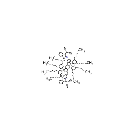 CCCCCCc1cc(CCCCCC)cc(C2(c3cc(CCCCCC)cc(CCCCCC)c3)c3cc4c(cc3-c3cc(/C=C5\C(=O)c6ccccc6C5=C(C#N)C#N)sc32)C(c2cc(CCCCCC)cc(CCCCCC)c2)(c2cc(CCCCCC)cc(CCCCCC)c2)c2sc(/C=C3\C(=O)c5ccccc5C3=C(C#N)C#N)cc2-4)c1